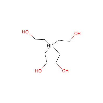 OC[CH2][Hf]([CH2]CO)([CH2]CO)[CH2]CO